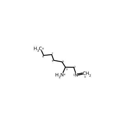 C=NCC(N)CCCCC